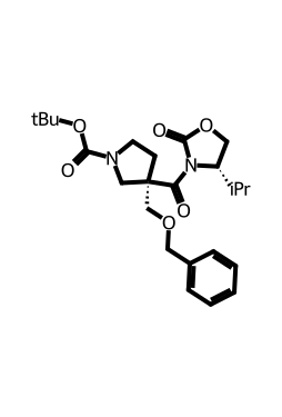 CC(C)[C@H]1COC(=O)N1C(=O)[C@]1(COCc2ccccc2)CCN(C(=O)OC(C)(C)C)C1